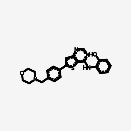 Oc1ccccc1Nc1ncnc2cc(-c3ccc(CN4CCOCC4)cc3)sc12